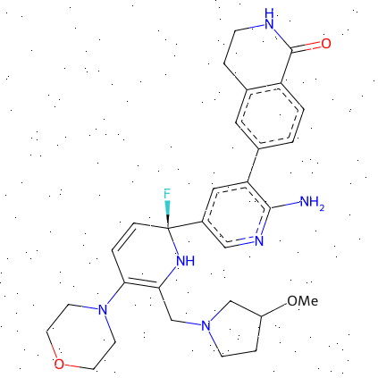 COC1CCN(CC2=C(N3CCOCC3)C=C[C@](F)(c3cnc(N)c(-c4ccc5c(c4)CCNC5=O)c3)N2)C1